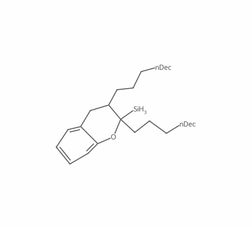 CCCCCCCCCCCCCC1Cc2ccccc2OC1([SiH3])CCCCCCCCCCCCC